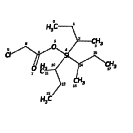 CCC(C)[Si](OC(=O)CCl)(C(C)CC)C(C)CC